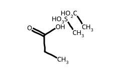 CC(=O)O.CCC(=O)O.CS(=O)(=O)O